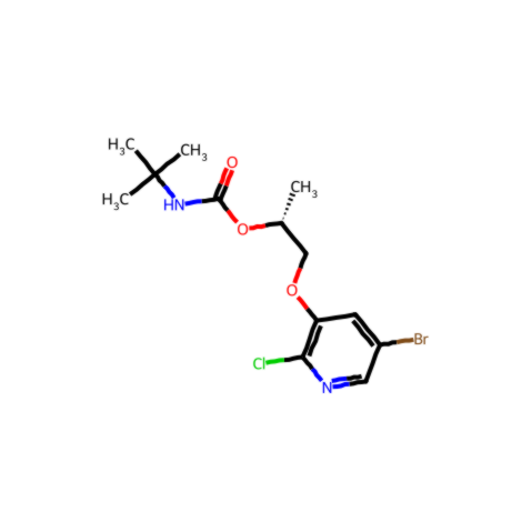 C[C@H](COc1cc(Br)cnc1Cl)OC(=O)NC(C)(C)C